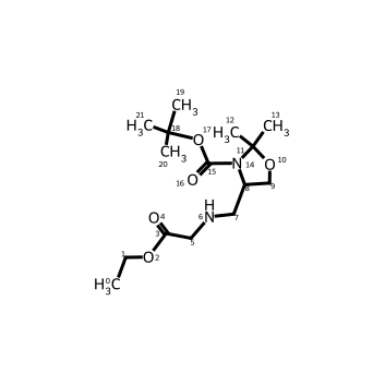 CCOC(=O)CNCC1COC(C)(C)N1C(=O)OC(C)(C)C